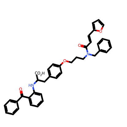 O=C(c1ccccc1)c1ccccc1NC(Cc1ccc(OCCCN(Cc2ccccc2)C(=O)C=Cc2ccco2)cc1)C(=O)O